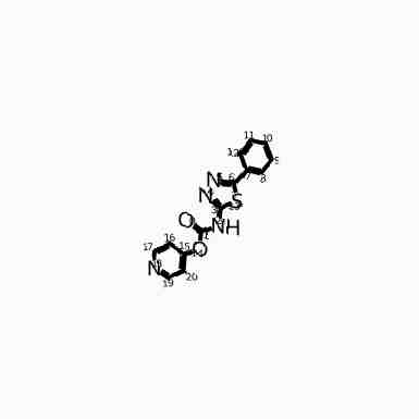 O=C(Nc1nnc(-c2ccccc2)s1)Oc1ccncc1